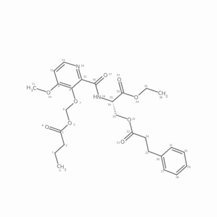 CCCC(=O)OCOc1c(OC)ccnc1C(=O)N[C@@H](COC(=O)CCc1ccccc1)C(=O)OCC